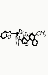 Cc1ccc(-c2scc(NC(=O)C3Cc4ccccc4O3)c2C(=O)O)c2ccccc12